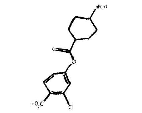 CCCCCC1CCC(C(=O)Oc2ccc(C(=O)O)c(Cl)c2)CC1